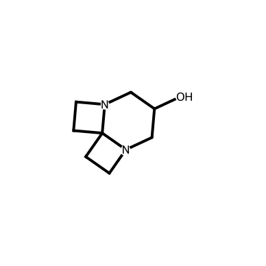 OC1CN2CCC23CCN3C1